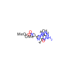 COC(COC(=O)N1CCC(c2cnc(-c3c(-c4nn(C5(C)CC5)c5ncnc(N)c45)noc3C3CC3)nc2)CC1)OC